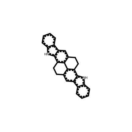 c1ccc2c(c1)[nH]c1c3c4c(cc12)CCc1c-4c(cc2c1[nH]c1ccccc12)CC3